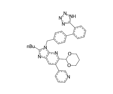 CCCCc1nc2cc(-c3cccnc3)c(C3OCCCO3)nc2n1Cc1ccc(-c2ccccc2-c2nnn[nH]2)cc1